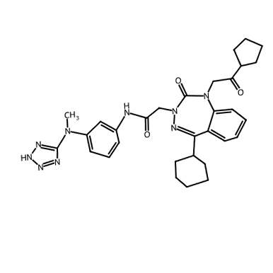 CN(c1cccc(NC(=O)CN2N=C(C3CCCCC3)c3ccccc3N(CC(=O)C3CCCC3)C2=O)c1)c1nn[nH]n1